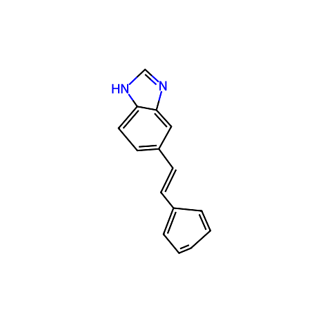 C(=Cc1ccc2[nH]cnc2c1)c1ccccc1